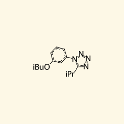 CC(C)COc1cccc(-n2nnnc2C(C)C)c1